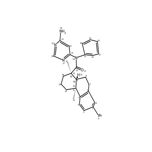 CC(C)c1ccc2c(c1)CC[C@H]1[C@](C)(C(=O)N(c3ccccc3)c3cc(N)ncn3)CCC[C@]21C